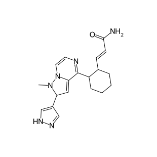 CN1C(c2cn[nH]c2)C=C2C(C3CCCCC3C=CC(N)=O)=NC=CN21